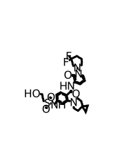 O=C(Nc1cccn(N2CCCC(F)(F)C2)c1=O)c1ccc(NS(=O)(=O)CCO)cc1N1CCC2(CC1)CC2